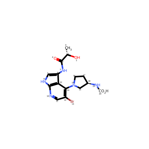 C[C@H](O)C(=O)Nc1c[nH]c2ncc(Br)c(N3CC[C@@H](NC(=O)O)C3)c12